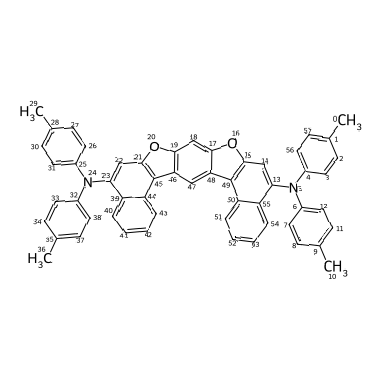 Cc1ccc(N(c2ccc(C)cc2)c2cc3oc4cc5oc6cc(N(c7ccc(C)cc7)c7ccc(C)cc7)c7ccccc7c6c5cc4c3c3ccccc23)cc1